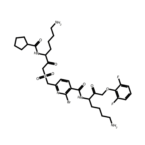 NCCCCC(NC(=O)c1ccc(CS(=O)(=O)CC(=O)C(CCCCN)NC(=O)C2CCCC2)nc1Br)C(=O)COc1c(F)cccc1F